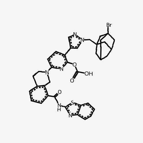 O=C(O)Oc1nc(N2CCc3cccc(C(=O)Nc4nc5ccccc5s4)c3C2)ccc1-c1cnn(CC23CC4CC(CC(Br)(C4)C2)C3)c1